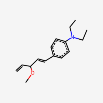 C=CC(C=Cc1ccc(N(CC)CC)cc1)OC